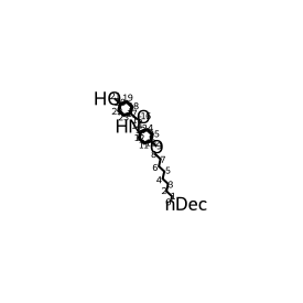 CCCCCCCCCCCCCCCCCCOc1ccc(NC(=O)c2ccc(O)cc2)cc1